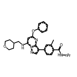 CCCNC(=O)c1ccc(-c2cnn3c(NCC4CCOCC4)cc(Oc4ccccc4)nc23)cc1C